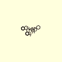 O=C(CNCC1(O)CCCCC1)N1CCc2ccccc2C1c1cccc(F)c1